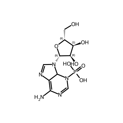 NC1=C2N=CN([C@@H]3O[C@H](CO)[C@@H](O)[C@H]3O)C2N(P(=O)(O)O)C=N1